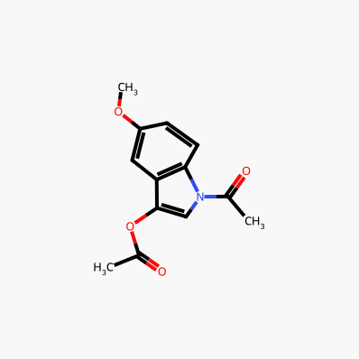 COc1ccc2c(c1)c(OC(C)=O)cn2C(C)=O